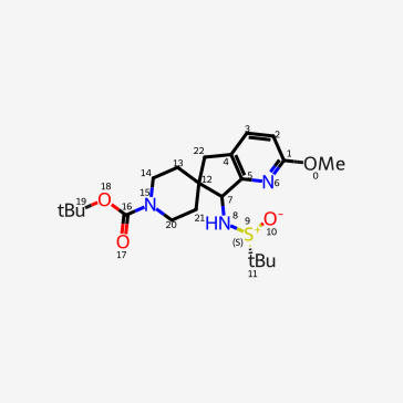 COc1ccc2c(n1)C(N[S@+]([O-])C(C)(C)C)C1(CCN(C(=O)OC(C)(C)C)CC1)C2